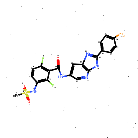 CCCS(=O)(=O)Nc1ccc(F)c(C(=O)Nc2cnc3[nH]c(-c4ccc(P)cc4)nc3c2)c1F